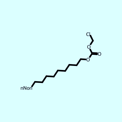 CCCCCCCCCCCCCCCCCCOC(=O)OCCl